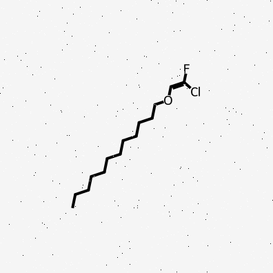 CCCCCCCCCCCCOC=C(F)Cl